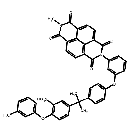 Cc1cccc(Oc2ccc(C(C)(C)c3ccc(Oc4cccc(N5C(=O)c6ccc7c8c(ccc(c68)C5=O)C(=O)N(C)C7=O)c4)cc3)cc2S(=O)(=O)O)c1